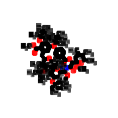 C=C1C[C@](OC)([C@H](OC(=O)c2ccccc2)C(=O)N[C@@H](OC)[C@@H]2C[C@@H](O[Si](CC)(CC)CC)C(C)(C)[C@@H](C[C@H](O[Si](C)(C)C)[C@@H](C)[C@@H](Cc3cc(O[Si](C)(C)C(C)(C)C)cc(O[Si](C)(C)C(C)(C)C)c3C(=O)OC)O[Si](C)(C)C(C)(C)C)O2)O[C@H](C)[C@@H]1C